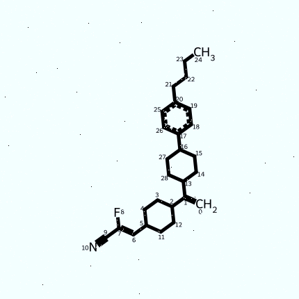 C=C(C1CCC(C=C(F)C#N)CC1)C1CCC(c2ccc(CCCC)cc2)CC1